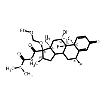 CCOCO[C@]1(C(=O)SC(=O)N(C)C)[C@H](C)CC2C3C[C@H](F)C4=CC(=O)C=C[C@]4(C)[C@@]3(F)[C@@H](O)C[C@@]21C